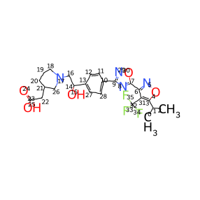 CC(C)c1onc(-c2nc(-c3ccc(C(O)CN4CCCC(CC(=O)O)C4)cc3)no2)c1C(F)(F)F